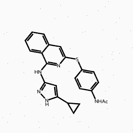 CC(=O)Nc1ccc(Sc2cc3ccccc3c(Nc3cc(C4CC4)[nH]n3)n2)cc1